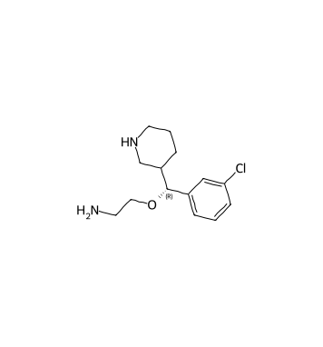 NCCO[C@@H](c1cccc(Cl)c1)C1CCCNC1